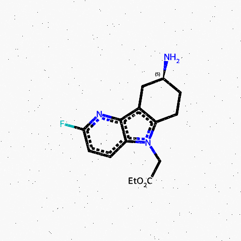 CCOC(=O)Cn1c2c(c3nc(F)ccc31)C[C@@H](N)CC2